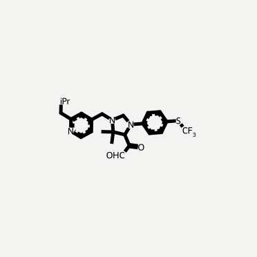 CC(C)Cc1cc(CN2CN(c3ccc(SC(F)(F)F)cc3)C(C(=O)C=O)C2(C)C)ccn1